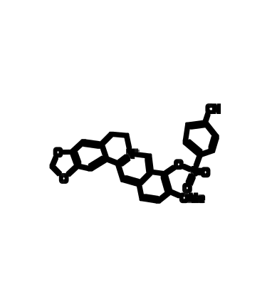 COc1ccc2cc3[n+](cc2c1OS(=O)(=O)c1ccc(C#N)cc1)CCc1cc2c(cc1-3)OCO2